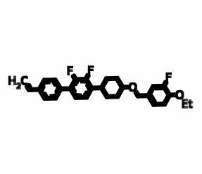 C=Cc1ccc(-c2ccc(C3CCC(OCC4=CCC(OCC)C(F)=C4)CC3)c(F)c2F)cc1